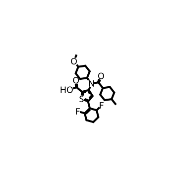 COC1CCC(N(C(=O)C2CCC(C)CC2)c2cc(C3=C(F)CCCC3F)sc2C(=O)O)CC1